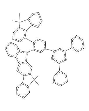 CC1(C)c2ccccc2-c2cc3c4ccccc4n(-c4cc(-c5nc(-c6ccccc6)nc(-c6ccccc6)n5)ccc4-c4cccc5c4-c4ccccc4C5(C)C)c3cc21